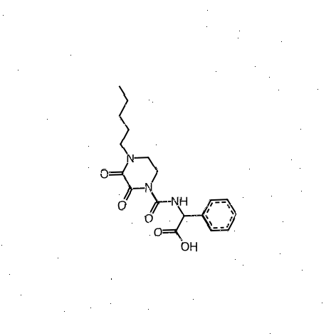 CCCCCN1CCN(C(=O)NC(C(=O)O)c2ccccc2)C(=O)C1=O